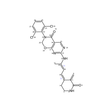 C=C1C(=O)NCC/C1=C/C=C(\C)Nc1ncc2c(n1)OCN(c1c(Cl)cccc1Cl)C2=O